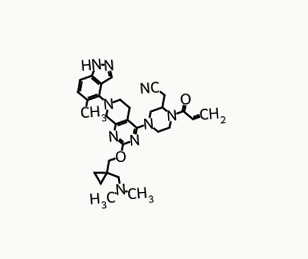 C=CC(=O)N1CCN(c2nc(OCC3(CN(C)C)CC3)nc3c2CCN(c2c(C)ccc4[nH]ncc24)C3)CC1CC#N